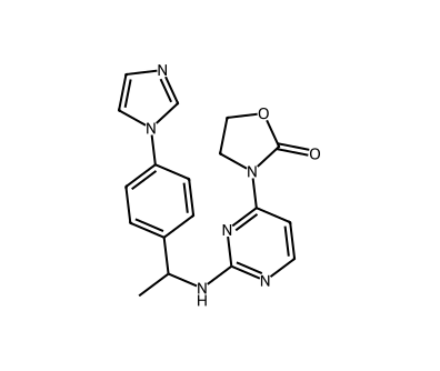 CC(Nc1nccc(N2CCOC2=O)n1)c1ccc(-n2ccnc2)cc1